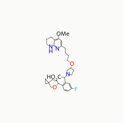 COc1cc(CCCCOC2CCN(C(C(=O)O)c3cc(F)ccc3C3CCC4(CC4)CO3)C2)nc2c1CCCN2